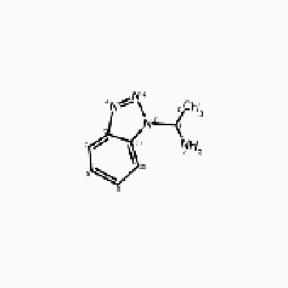 CC(N)n1nnc2ccccc21